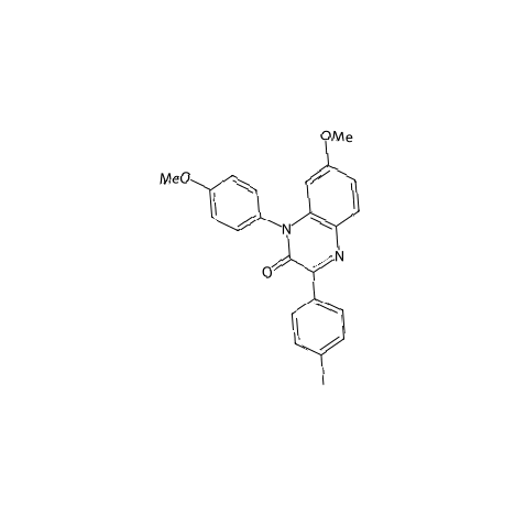 COc1ccc(-n2c(=O)c(-c3ccc(C)cc3)nc3ccc(OC)cc32)cc1